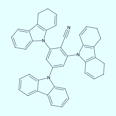 N#Cc1c(-n2c3c(c4c2C=CCC4)CCC=C3)cc(-n2c3ccccc3c3ccccc32)cc1-n1c2c(c3ccccc31)CCC=C2